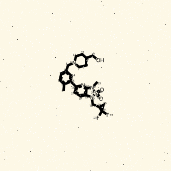 Cc1ccc(CN2CCC(CO)CC2)cc1-c1ccc2c(n1)N(C)S(=O)(=O)N2CC1CC1(F)F